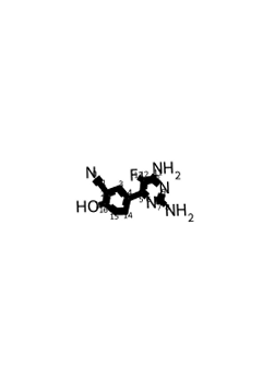 N#Cc1cc(-c2nc(N)nc(N)c2F)ccc1O